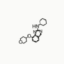 c1cc(OC2CCOCC2)c2nc(NC3CCCCC3)ncc2c1